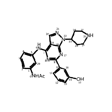 CC(=O)Nc1cccc(Nc2nc(-c3cccc(O)c3)nc3c2cnn3C2CCNCC2)c1